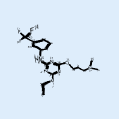 CCOc1nc(Nc2cccc(C(F)(F)F)c2)nc(OCCCN(C)C)n1